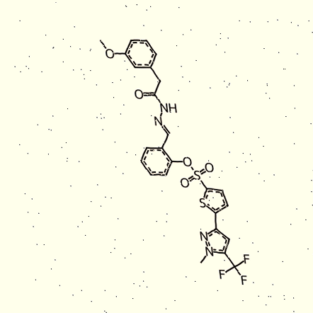 COc1cccc(CC(=O)N/N=C/c2ccccc2OS(=O)(=O)c2ccc(-c3cc(C(F)(F)F)n(C)n3)s2)c1